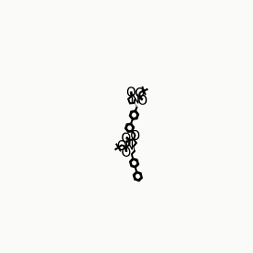 CC(C)(C)OC(=O)N1C(=O)CC[C@H]1Cc1ccc(-c2cccc(OC3C[C@@H](CCc4ccc(-c5ccccc5)cc4)N(C(=O)OC(C)(C)C)C3=O)c2)cc1